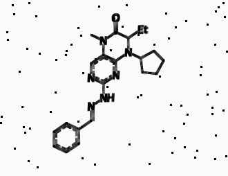 CCC1C(=O)N(C)c2cnc(N/N=C/c3ccccc3)nc2N1C1CCCC1